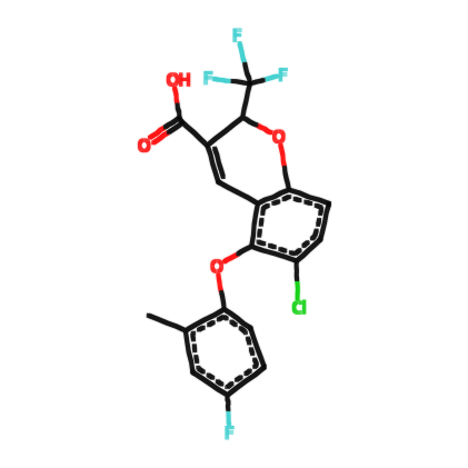 Cc1cc(F)ccc1Oc1c(Cl)ccc2c1C=C(C(=O)O)C(C(F)(F)F)O2